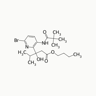 CCCCOC(=O)CC(O)(c1nc(Br)ccc1NC(=O)C(C)(C)C)C(C)C